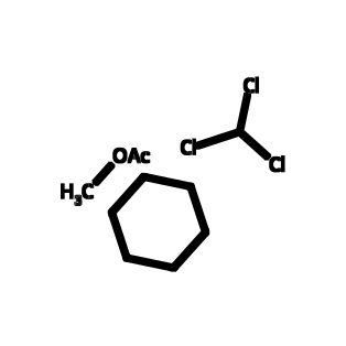 C1CCCCC1.COC(C)=O.ClC(Cl)Cl